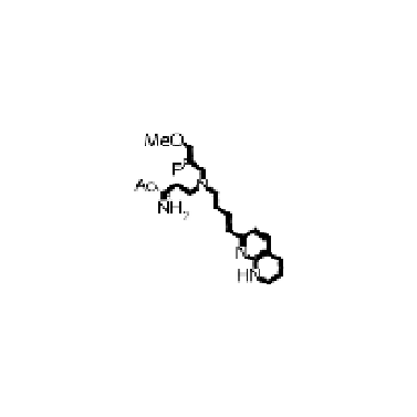 COC[C@@H](F)CN(CCCCc1ccc2c(n1)NCCC2)CC[C@H](N)C(C)=O